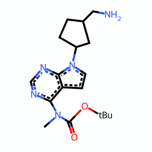 CN(C(=O)OC(C)(C)C)c1ncnc2c1ccn2C1CCC(CN)C1